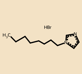 Br.CCCCCCCCn1ccnc1